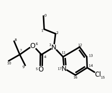 CCCN(C(=O)OC(C)(C)C)c1ccc(Cl)cn1